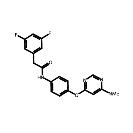 CNc1cc(Oc2ccc(NC(=O)Cc3cc(F)cc(F)c3)cc2)ncn1